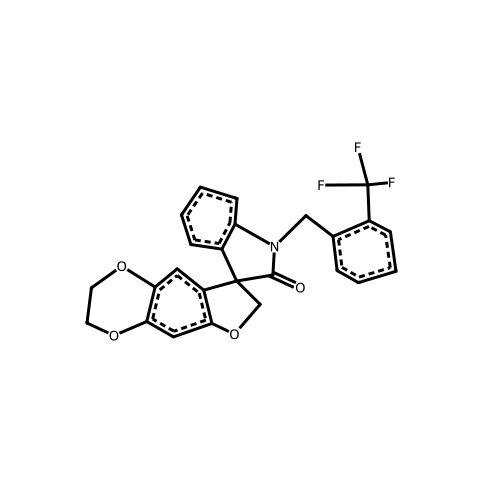 O=C1N(Cc2ccccc2C(F)(F)F)c2ccccc2C12COc1cc3c(cc12)OCCO3